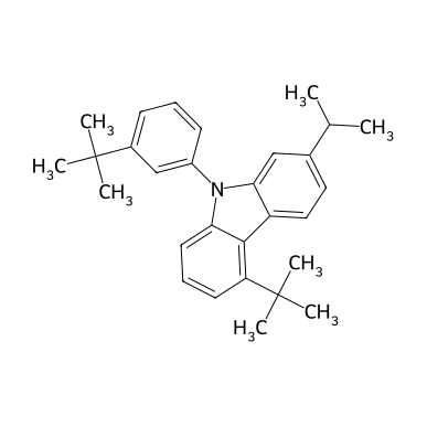 CC(C)c1ccc2c3c(C(C)(C)C)cccc3n(-c3cccc(C(C)(C)C)c3)c2c1